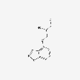 OC(CCl)COc1cccc2sncc12